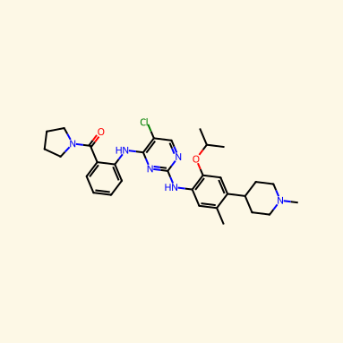 Cc1cc(Nc2ncc(Cl)c(Nc3ccccc3C(=O)N3CCCC3)n2)c(OC(C)C)cc1C1CCN(C)CC1